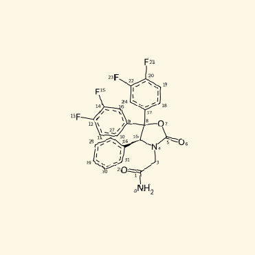 NC(=O)CN1C(=O)OC(c2ccc(F)c(F)c2)(c2ccc(F)c(F)c2)[C@@H]1c1ccccc1